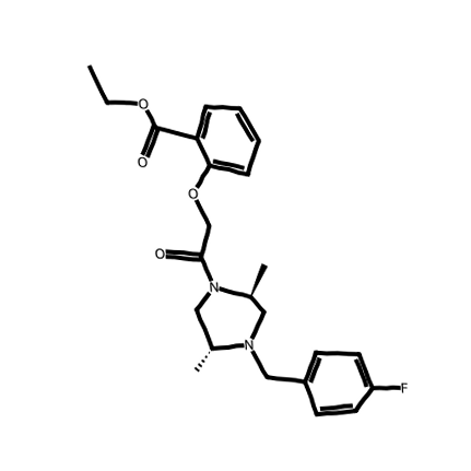 CCOC(=O)c1ccccc1OCC(=O)N1C[C@@H](C)N(Cc2ccc(F)cc2)C[C@@H]1C